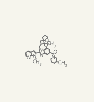 CCn1c(-c2nc3cc(C(=O)N4CCC[C@@H](C)C4)cc(OC)c3n2CC2CC3(CCCO3)C2)cc2cccnc21